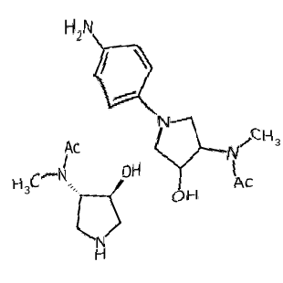 CC(=O)N(C)C1CN(c2ccc(N)cc2)CC1O.CC(=O)N(C)[C@H]1CNC[C@@H]1O